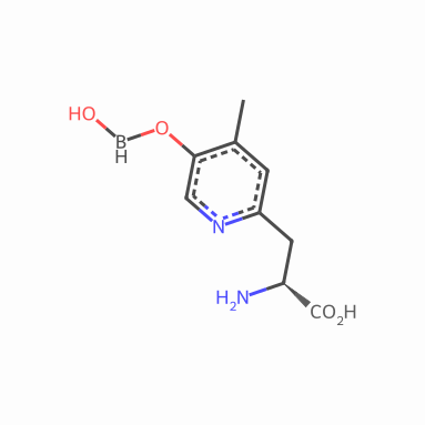 Cc1cc(C[C@H](N)C(=O)O)ncc1OBO